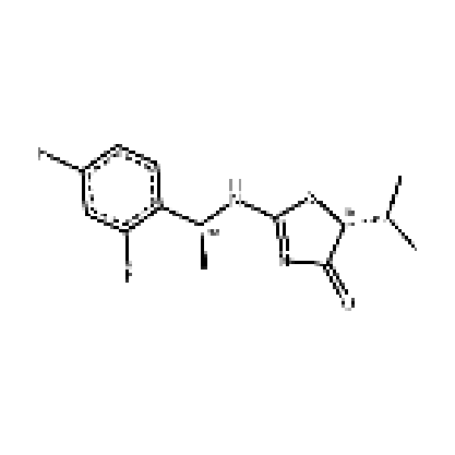 CC(C)[C@H]1SC(N[C@@H](C)c2ccc(F)cc2F)=NC1=O